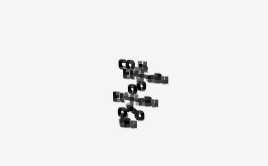 CCCCC(CC)(OOC(CC)(CCCC)C(=O)OC(C)(C)C)C(=O)O